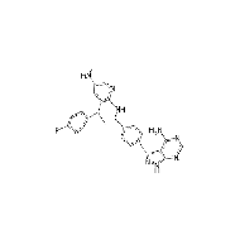 CNc1cnc(NCc2ccc(-c3n[nH]c4ncnc(N)c34)cc2)c(C(C)c2ccc(F)cc2)c1